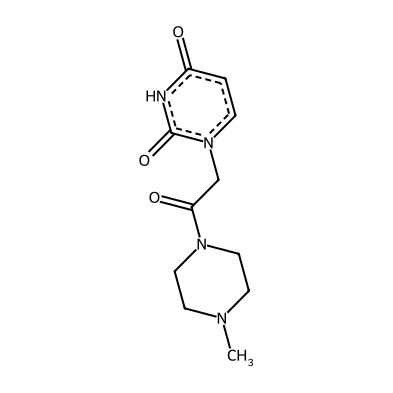 CN1CCN(C(=O)Cn2ccc(=O)[nH]c2=O)CC1